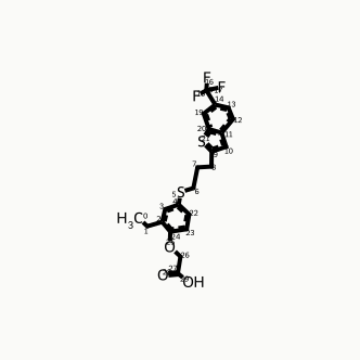 CCc1cc(SCCCc2cc3ccc(C(F)(F)F)cc3s2)ccc1OCC(=O)O